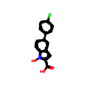 O=C(O)c1cc2cc(-c3ccc(Cl)cc3)ccc2n1O